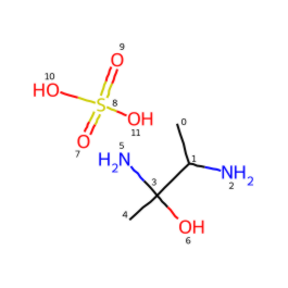 CC(N)C(C)(N)O.O=S(=O)(O)O